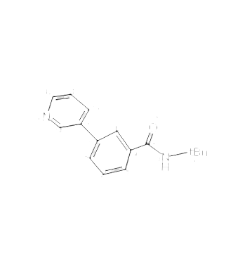 CC(C)(C)NC(=O)c1cccc(-c2cccnc2)c1